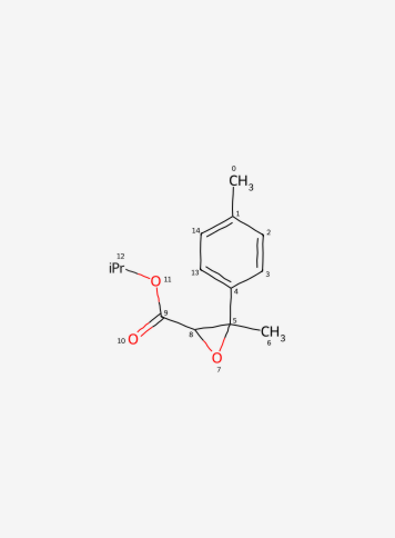 Cc1ccc(C2(C)OC2C(=O)OC(C)C)cc1